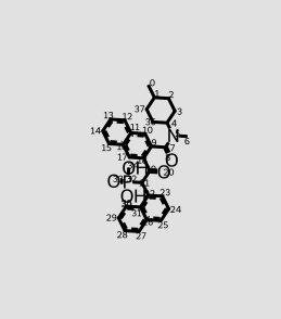 CC1CCC(N(C)C(=O)c2cc3ccccc3cc2C(=O)C(c2cccc3ccccc23)P(=O)(O)O)CC1